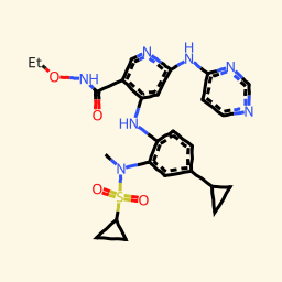 CCONC(=O)c1cnc(Nc2ccncn2)cc1Nc1ccc(C2CC2)cc1N(C)S(=O)(=O)C1CC1